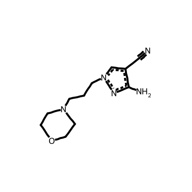 N#Cc1cn(CCCN2CCOCC2)nc1N